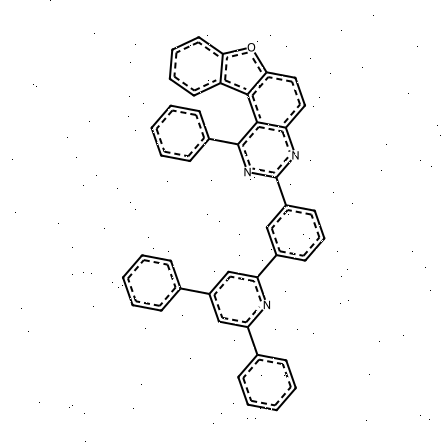 c1ccc(-c2cc(-c3ccccc3)nc(-c3cccc(-c4nc(-c5ccccc5)c5c(ccc6oc7ccccc7c65)n4)c3)c2)cc1